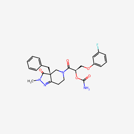 CN1N=C2CCN(C(=O)[C@@H](COc3cccc(F)c3)OC(N)=O)C[C@@]2(Cc2ccccc2)C1=O